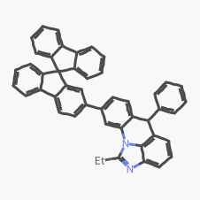 CCc1nc2cccc3c2n1-c1cc(-c2ccc4c(c2)C2(c5ccccc5-c5ccccc52)c2ccccc2-4)ccc1C3c1ccccc1